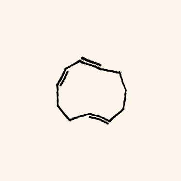 [CH]1/C=C/C=C\CC/C=C/CC1